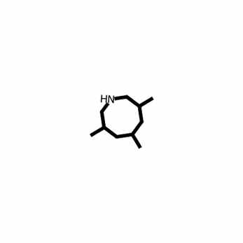 CC1CNCC(C)CC(C)C1